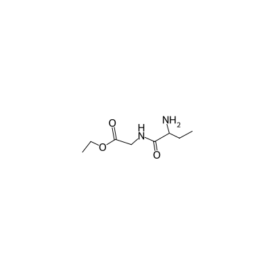 CCOC(=O)CNC(=O)C(N)CC